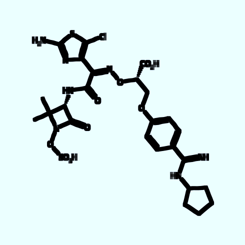 CC1(C)[C@H](NC(=O)/C(=N\O[C@@H](COc2ccc(C(=N)NC3CCCC3)cc2)C(=O)O)c2nc(N)sc2Cl)C(=O)N1OS(=O)(=O)O